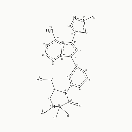 CC(=O)N1CC(CO)N(c2cccc(-c3cc(-c4cnn(C)c4)c4c(N)ncnn34)c2)C(=O)C1(C)C